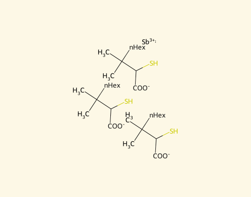 CCCCCCC(C)(C)C(S)C(=O)[O-].CCCCCCC(C)(C)C(S)C(=O)[O-].CCCCCCC(C)(C)C(S)C(=O)[O-].[Sb+3]